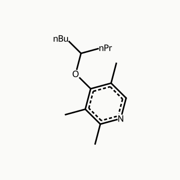 CCCCC(CCC)Oc1c(C)cnc(C)c1C